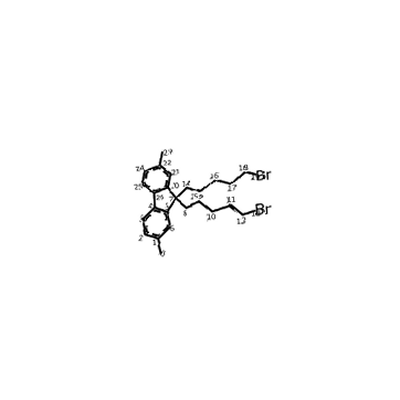 Cc1ccc2c(c1)C(CCCCCBr)(CCCCCBr)c1cc(C)ccc1-2